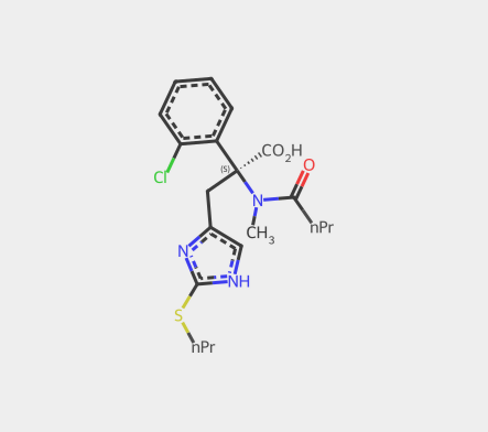 CCCSc1nc(C[C@@](C(=O)O)(c2ccccc2Cl)N(C)C(=O)CCC)c[nH]1